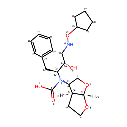 O=C(O)N([C@H]1CO[C@H]2OCC[C@H]21)[C@@H](Cc1ccccc1)[C@@H](O)CNOC1CCCC1